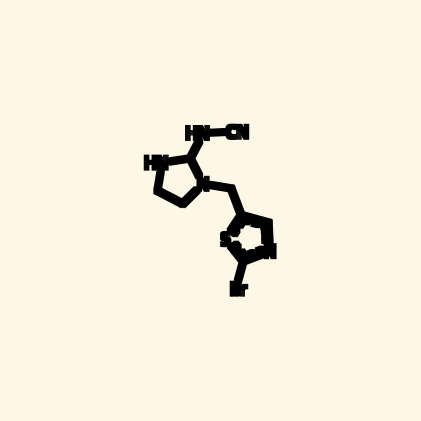 N#CNC1NCCN1Cc1cnc(Br)s1